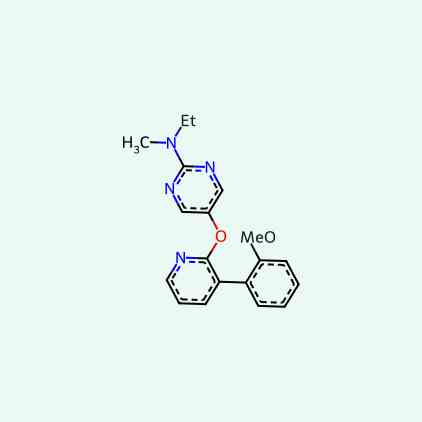 CCN(C)c1ncc(Oc2ncccc2-c2ccccc2OC)cn1